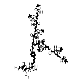 CC(C)(C)OC(=O)NCCCC[C@H](NC(=O)OC(C)(C)C)C(=O)NCCCC[C@H](NC(=O)OC(C)(C)C)C(=O)NCCCN(CCCNC(=O)[C@H](CCCCNC(=O)[C@H](CCCCNC(=O)OC(C)(C)C)NC(=O)OC(C)(C)C)NC(=O)OC(C)(C)C)CCOc1ccc(CCCCNC(=N)NC(=O)c2nc(Cl)c(N)nc2N)cc1